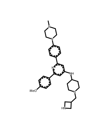 COc1ccc(-c2cc(NC3CCN(CC4CNC4)CC3)cc(-c3ccc(N4CCN(C)CC4)cc3)n2)cc1